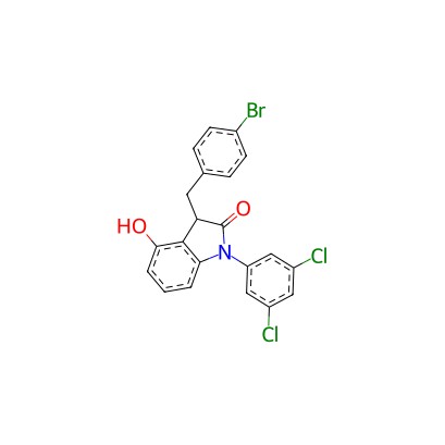 O=C1C(Cc2ccc(Br)cc2)c2c(O)cccc2N1c1cc(Cl)cc(Cl)c1